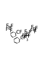 FC(F)(F)c1ccccc1.FC(F)(F)c1ccccc1.F[B-](F)(F)F.F[B-](F)(F)F.F[B-](F)(F)F.[LiH]